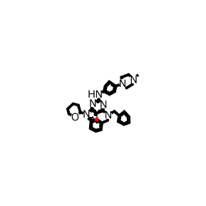 CN1CCN(c2ccc(Nc3nc(N(Cc4ccccc4)Cc4ccccc4)c4ncn(C5CCCCO5)c4n3)cc2)CC1